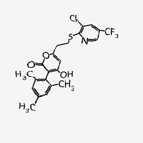 Cc1cc(C)c(-c2c(O)cc(CCSc3ncc(C(F)(F)F)cc3Cl)oc2=O)c(C)c1